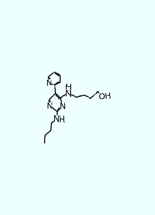 CCCCNc1ncc(-c2ccccn2)c(NCCCCO)n1